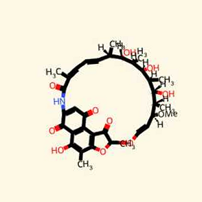 CO[C@H]1/C=C/O[C@@]2(C)Oc3c(C)c(O)c4c(c3C2=O)C(=O)C=C(NC(=O)/C(C)=C\C=C\[C@H](C)[C@H](O)[C@@H](C)[C@@H](O)[C@@H](C)[C@H](O)[C@@H]1C)C4=O